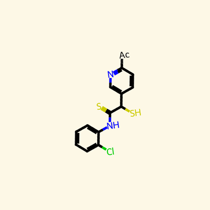 CC(=O)c1ccc(C(S)C(=S)Nc2ccccc2Cl)cn1